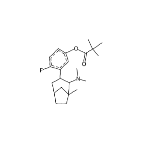 CN(C)C1C(c2cc(OC(=O)C(C)(C)C)ccc2F)CC2CCC1(C)C2